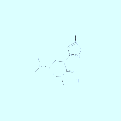 Cc1cc(N(CCN(C)C)C(=O)N(C)C)no1.Cl